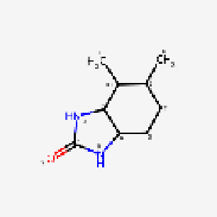 CC1CCC2NC(=O)NC2C1C